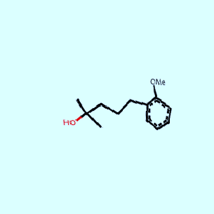 COc1ccccc1CCCC(C)(C)O